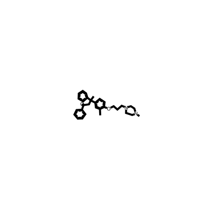 Cc1cc(C(C)(CC(=O)c2ccccc2)c2ccccc2)ccc1OCCCN1CCN(C)CC1